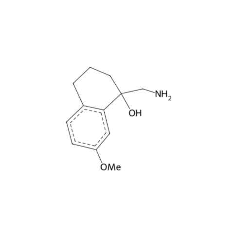 COc1ccc2c(c1)C(O)(CN)CCC2